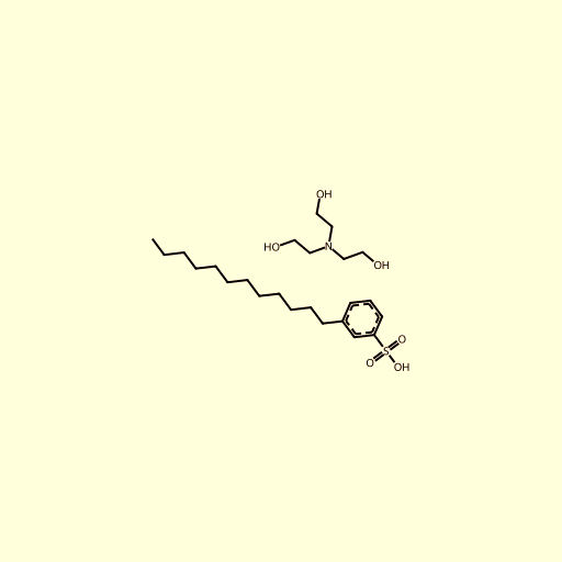 CCCCCCCCCCCCc1cccc(S(=O)(=O)O)c1.OCCN(CCO)CCO